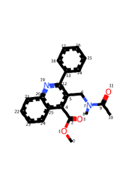 COC(=O)c1c(CN(C)C(C)=O)c(-c2ccccc2)nc2ccccc12